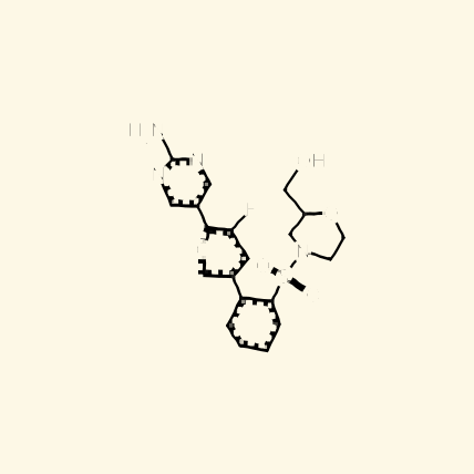 Nc1ncc(-c2ccc(-c3ccccc3S(=O)(=O)N3CCOC(CO)C3)cc2F)cn1